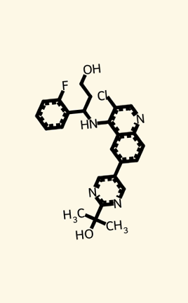 CC(C)(O)c1ncc(-c2ccc3ncc(Cl)c(NC(CCO)c4ccccc4F)c3c2)cn1